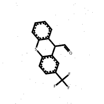 O=CC1c2ccccc2Sc2ccc(C(F)(F)F)cc21